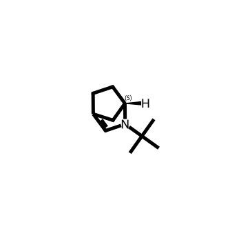 CC(C)(C)N1C=C2CC[C@H]1C2